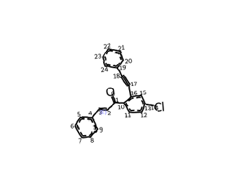 O=C(/C=C/c1ccccc1)c1ccc(Cl)cc1C#Cc1ccccc1